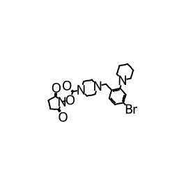 O=C(ON1C(=O)CCC1=O)N1CCN(Cc2ccc(Br)cc2N2CCCCC2)CC1